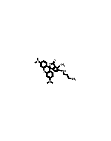 CN(C)c1ccc2c(c1)Oc1cc(N(C)C)ccc1C21OC(=O)c2c1ccc(NCCCN)c2N